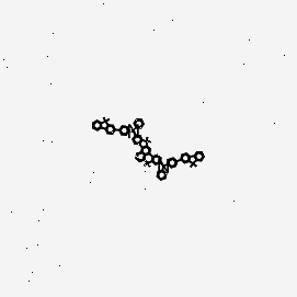 CC1(C)c2ccccc2-c2ccc(-c3ccc(N(c4ccccc4)c4ccc5c(c4)C(C)(C)c4cc6c7c(cccc7c4-5)C(C)(C)c4cc(N(c5ccccc5)c5ccc(-c7ccc8c(c7)C(C)(C)c7ccccc7-8)cc5)ccc4-6)cc3)cc21